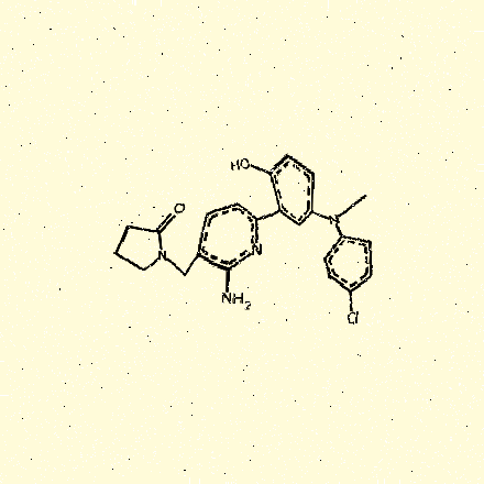 CN(c1ccc(Cl)cc1)c1ccc(O)c(-c2ccc(CN3CCCC3=O)c(N)n2)c1